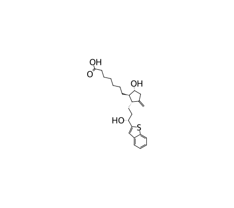 C=C1C[C@@H](O)[C@H](CCCCCCC(=O)O)[C@H]1CC[C@@H](O)c1cc2ccccc2s1